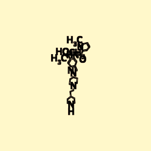 Cc1cccc(C(=O)Nc2cc3cn(C4CCN(CCC5CCNCC5)CC4)nc3cc2C(C)(C)O)n1